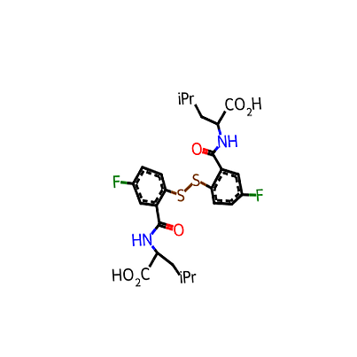 CC(C)CC(NC(=O)c1cc(F)ccc1SSc1ccc(F)cc1C(=O)NC(CC(C)C)C(=O)O)C(=O)O